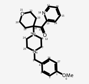 COc1ccc(CN2CCN(C3(C(=O)c4ccccn4)CCOCC3)CC2)cc1